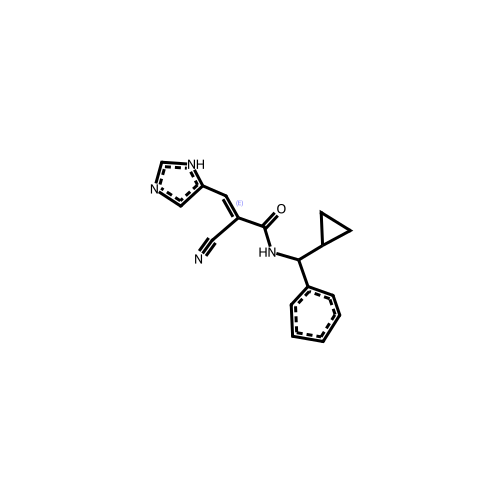 N#C/C(=C\c1cnc[nH]1)C(=O)NC(c1ccccc1)C1CC1